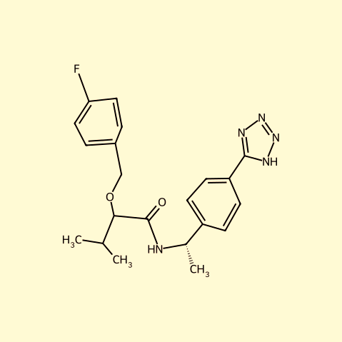 CC(C)C(OCc1ccc(F)cc1)C(=O)N[C@@H](C)c1ccc(-c2nnn[nH]2)cc1